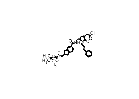 CC(C)(C)OC(=O)NCC1Cc2ccc(C(=O)NC[C@@H]3C[C@@H](CC(=O)O)C(=O)N3CCCc3ccccc3)cc2C1